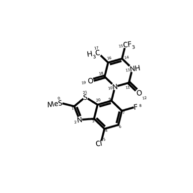 CSc1nc2c(Cl)cc(F)c(-n3c(=O)[nH]c(C(F)(F)F)c(C)c3=O)c2s1